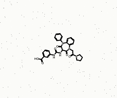 O=C(Nc1cccc(C(=O)O)c1)NC1C(=O)N(CC(=O)N2CCCC2)c2ccccc2N(c2ccccc2)C1=O